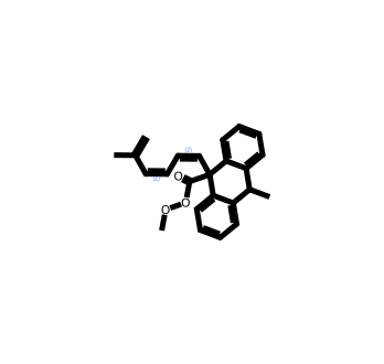 C=C(C)/C=C\C=C/C1(C(=O)OOC)c2ccccc2C(C)c2ccccc21